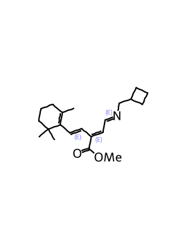 COC(=O)C(/C=C/C1=C(C)CCCC1(C)C)=C/C=N/CC1CCC1